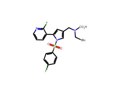 CC(C)(C)CN(Cc1cc(-c2cccnc2F)n(S(=O)(=O)c2ccc(F)cc2)c1)C(=O)O